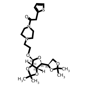 CC1(C)O[C@@H]2[C@H](O1)[C@@H](OCCN1CCN(C(=O)Cc3cccs3)CC1)O[C@@H]2[C@H]1COC(C)(C)O1